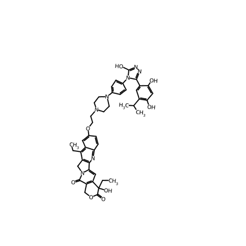 CCc1c2c(nc3ccc(OCCN4CCN(c5ccc(-n6c(O)nnc6-c6cc(C(C)C)c(O)cc6O)cc5)CC4)cc13)-c1cc3c(c(=O)n1C2)COC(=O)C3(O)CC